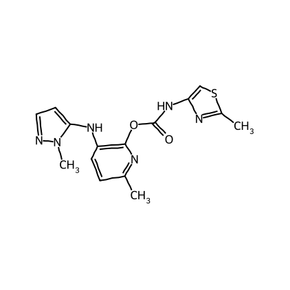 Cc1ccc(Nc2ccnn2C)c(OC(=O)Nc2csc(C)n2)n1